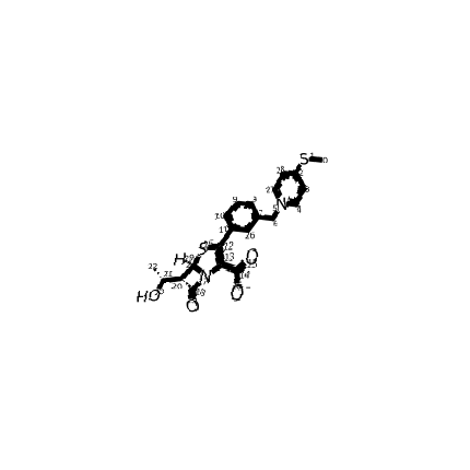 CSc1cc[n+](Cc2cccc(C3=C(C(=O)[O-])N4C(=O)[C@H]([C@@H](C)O)[C@H]4S3)c2)cc1